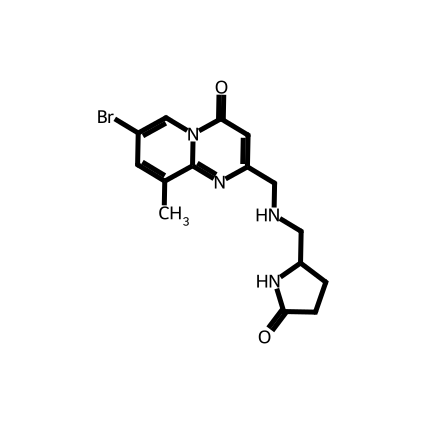 Cc1cc(Br)cn2c(=O)cc(CNCC3CCC(=O)N3)nc12